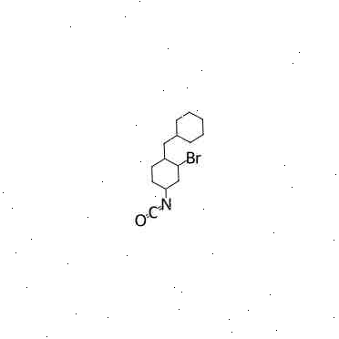 O=C=NC1CCC(CC2CCCCC2)C(Br)C1